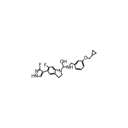 OC(NCc1cccc(OCC2CC2)c1)N1CCc2cc(-c3c[nH]nc3F)c(F)cc21